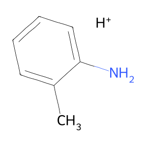 Cc1ccccc1N.[H+]